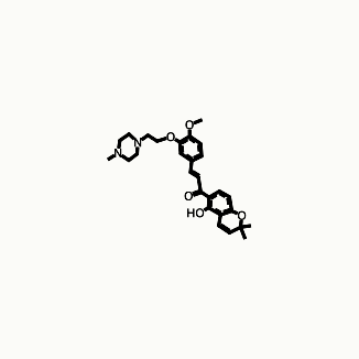 COc1ccc(/C=C/C(=O)c2ccc3c(c2O)C=CC(C)(C)O3)cc1OCCN1CCN(C)CC1